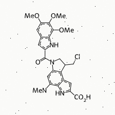 CNc1cc2c(c3cc(C(=O)O)[nH]c13)C(CCl)CN2C(=O)c1cc2cc(OC)c(OC)c(OC)c2[nH]1